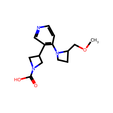 COCC1CCN1c1ccncc1C1CN(C(=O)O)C1